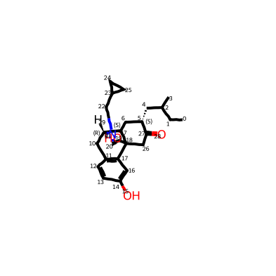 CCC(C)C[C@H]1C[C@@]2(O)[C@H]3Cc4ccc(O)cc4C2(CCN3CC2CC2)CC1=O